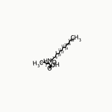 CCC=C(NC(=O)CCCCCCCCCCCCC)C(=O)O